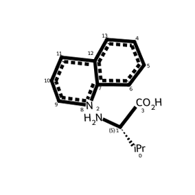 CC(C)[C@H](N)C(=O)O.c1ccc2ncccc2c1